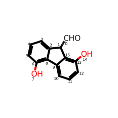 O=CC1c2cccc(O)c2-c2cccc(O)c21